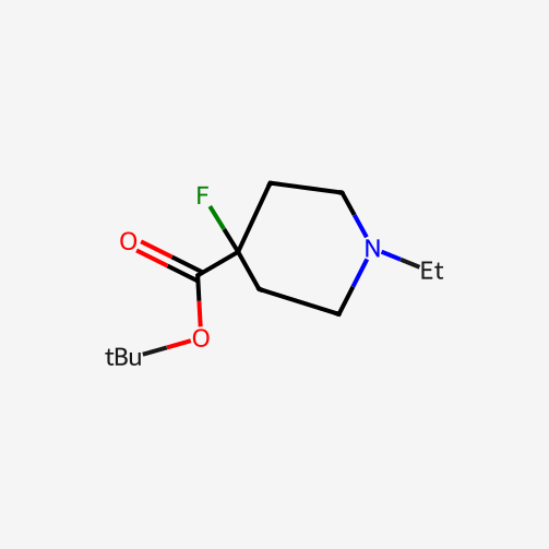 CCN1CCC(F)(C(=O)OC(C)(C)C)CC1